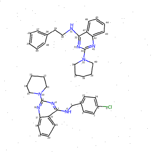 Clc1ccc(CNc2nc(N3CCCCC3)nc3ccccc23)cc1.c1ccc(CCNc2nc(N3CCCCC3)nc3ccccc23)cc1